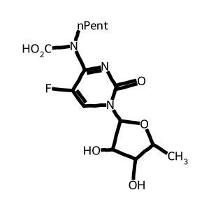 CCCCCN(C(=O)O)c1nc(=O)n(C2OC(C)C(O)C2O)cc1F